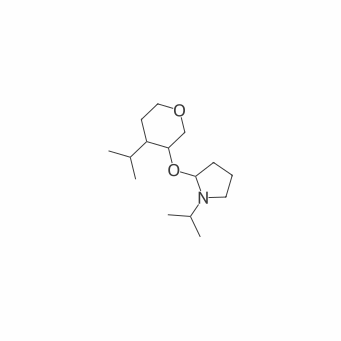 CC(C)C1CCOCC1OC1CCCN1C(C)C